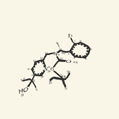 C[C@H](c1ccccc1F)N(Cc1ccc(C(C)(C)O)cn1)C(=O)OC(C)(C)C